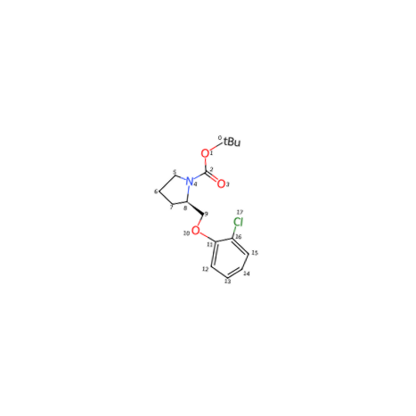 CC(C)(C)OC(=O)N1CCC[C@@H]1COc1ccccc1Cl